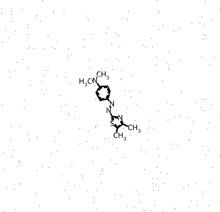 Cc1nc(N=Nc2ccc(N(C)C)cc2)sc1C